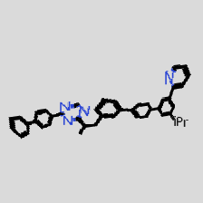 CC(C)c1cc(-c2ccc(-c3cccc(CC(C)c4ncnc(-c5ccc(-c6ccccc6)cc5)n4)c3)cc2)cc(-c2ccccn2)c1